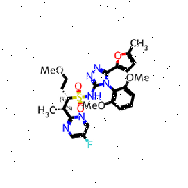 COCC[C@@H]([C@@H](C)c1ncc(F)cn1)S(=O)(=O)Nc1nnc(-c2ccc(C)o2)n1-c1c(OC)cccc1OC